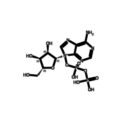 Nc1ncnc2c1N=C[N+]2(OP(=O)(O)OP(=O)(O)O)[C@@H]1O[C@H](CO)[C@@H](O)[C@H]1O